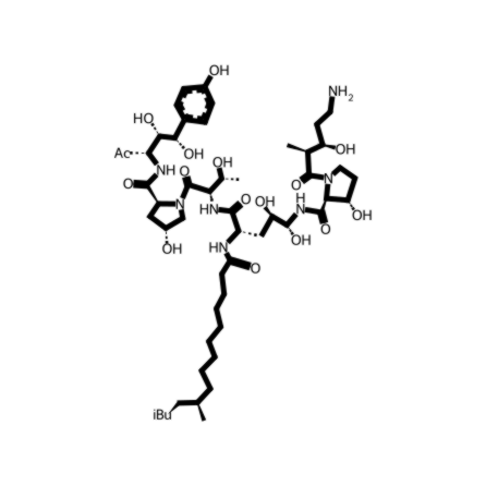 CC[C@H](C)C[C@H](C)CCCCCCCCC(=O)N[C@@H](C[C@@H](O)[C@@H](O)NC(=O)[C@@H]1[C@@H](O)CCN1C(=O)[C@@H](C)[C@H](O)CCN)C(=O)N[C@H](C(=O)N1C[C@H](O)C[C@H]1C(=O)N[C@H](C(C)=O)[C@H](O)[C@@H](O)c1ccc(O)cc1)[C@@H](C)O